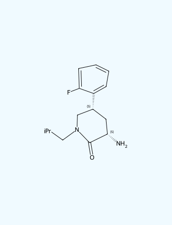 CC(C)CN1C[C@H](c2ccccc2F)C[C@H](N)C1=O